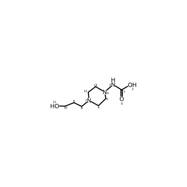 O=C(O)NN1CCN(CCCO)CC1